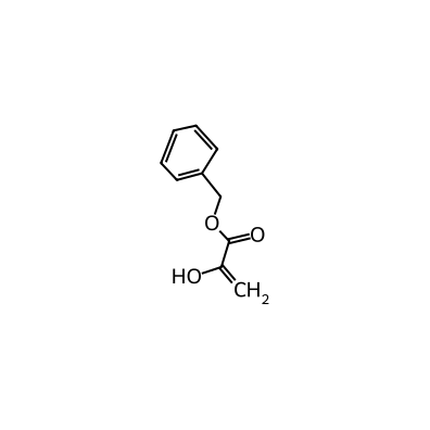 C=C(O)C(=O)OCc1ccccc1